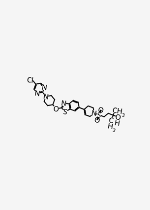 CC(C)(O)CCS(=O)(=O)N1CC=C(c2ccc3nc(OC4CCN(c5ncc(Cl)cn5)CC4)sc3c2)CC1